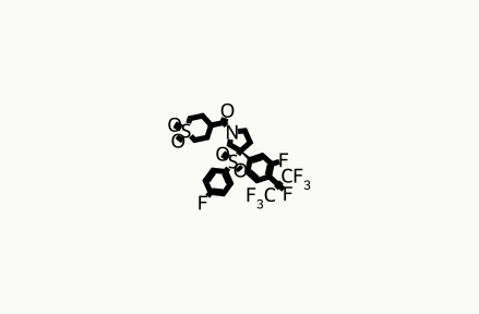 O=C(C1CCS(=O)(=O)CC1)N1CC[C@](c2ccc(C(F)(C(F)(F)F)C(F)(F)F)c(F)c2)(S(=O)(=O)c2ccc(F)cc2)C1